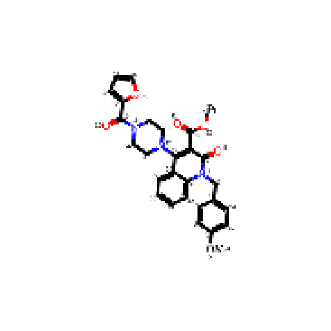 COc1ccc(Cn2c(=O)c(C(=O)OC(C)C)c(N3CCN(C(=O)c4ccco4)CC3)c3ccccc32)cc1